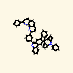 c1ccc(-c2ccc3ccc4ccc(-c5cccc(-c6nc7ccccc7c7cc8c(cc67)-c6ccccc6C86c7ccccc7N(c7ccccc7)c7ccccc76)c5)nc4c3n2)cc1